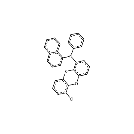 Clc1cccc2c1Oc1cccc(N(c3ccccc3)c3cccc4ccccc34)c1S2